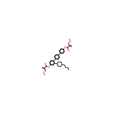 C=C(COC)C(=O)Oc1ccc(-c2ccc(-c3ccc(OC(=O)C(=C)COC)cc3C3CCC(CCCC)CC3)cc2)cc1